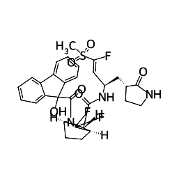 CS(=O)(=O)/C(F)=C/[C@@H](C[C@H]1CCNC1=O)NC(=O)[C@@H]1[C@H]2CC[C@H](CC2(F)F)N1C(=O)C1(O)c2ccccc2-c2ccccc21